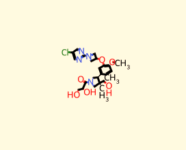 COc1ccc([C@@H]2CN(C(=O)[C@@H](O)CO)C[C@@]2(C)[C@@H](C)O)cc1OC1CN(c2ncc(Cl)cn2)C1